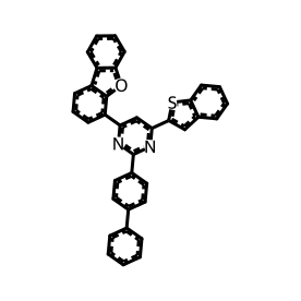 c1ccc(-c2ccc(-c3nc(-c4cc5ccccc5s4)cc(-c4cccc5c4oc4ccccc45)n3)cc2)cc1